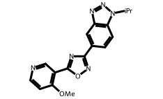 COc1ccncc1-c1nc(-c2ccc3c(c2)nnn3C(C)C)no1